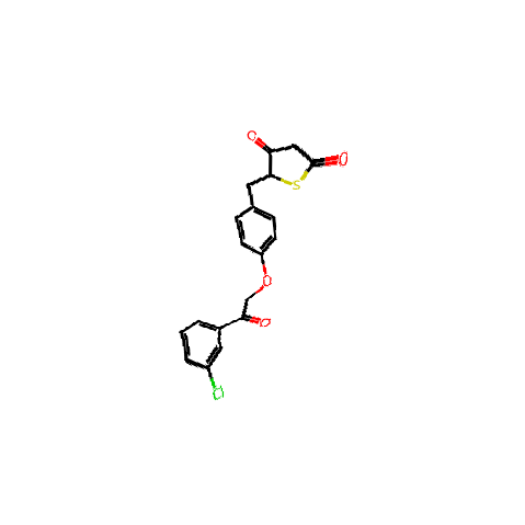 O=C1CC(=O)C(Cc2ccc(OCC(=O)c3cccc(Cl)c3)cc2)S1